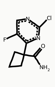 NC(=O)C1(c2nc(Cl)ncc2F)CCC1